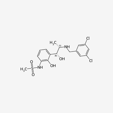 C[C@H](NCc1cc(Cl)cc(Cl)c1)[C@H](O)c1cccc(NS(C)(=O)=O)c1O